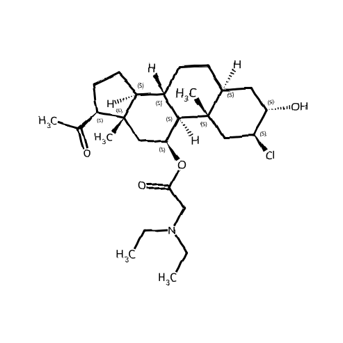 CCN(CC)CC(=O)O[C@H]1C[C@]2(C)[C@@H](C(C)=O)CC[C@H]2[C@@H]2CC[C@H]3C[C@H](O)[C@@H](Cl)C[C@]3(C)[C@H]21